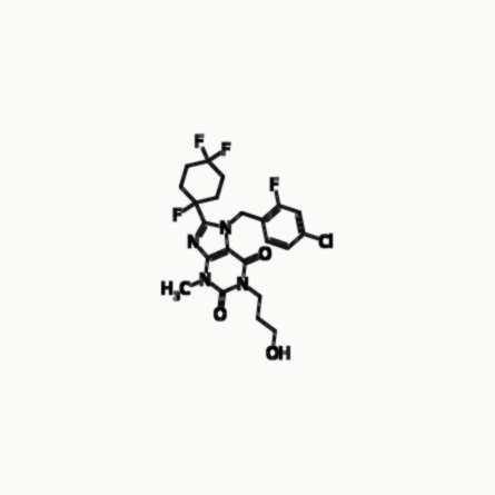 Cn1c(=O)n(CCCO)c(=O)c2c1nc(C1(F)CCC(F)(F)CC1)n2Cc1ccc(Cl)cc1F